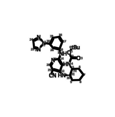 CC(C)(C)OC(=O)N[C@H]1CCCC[C@H]1Nc1cc(Nc2cccc(-n3nccn3)c2)ncc1C#N